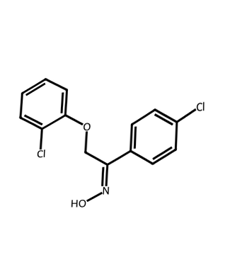 O/N=C(\COc1ccccc1Cl)c1ccc(Cl)cc1